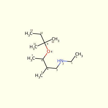 CCNCC(C)C(C)OC(C)(C)CC